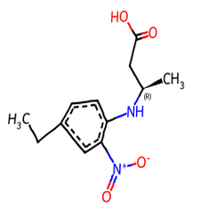 CCc1ccc(N[C@H](C)CC(=O)O)c([N+](=O)[O-])c1